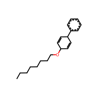 CCCCCCCCO[C]1C=CC(c2ccccc2)C=C1